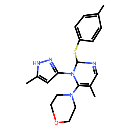 CC1=C(N2CCOCC2)N(c2cc(C)[nH]n2)C(Sc2ccc(C)cc2)N=C1